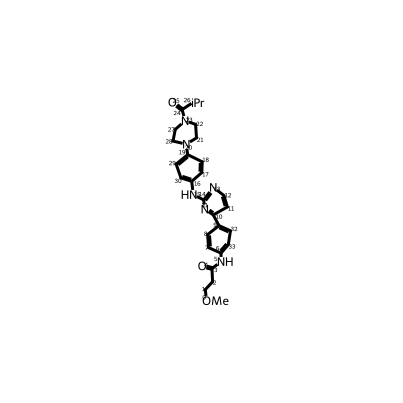 COCCC(=O)Nc1ccc(-c2ccnc(Nc3ccc(N4CCN(C(=O)C(C)C)CC4)cc3)n2)cc1